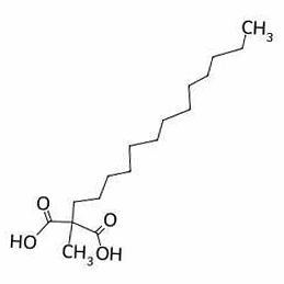 CCCCCCCCCCCCCC(C)(C(=O)O)C(=O)O